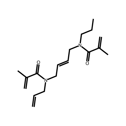 C=CCN(C/C=C/CN(CCC)C(=O)C(=C)C)C(=O)C(=C)C